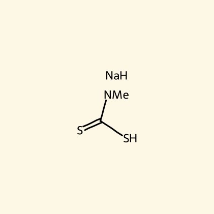 CNC(=S)S.[NaH]